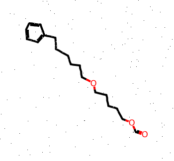 O=[C]OCCCCCOCCCCCCc1ccccc1